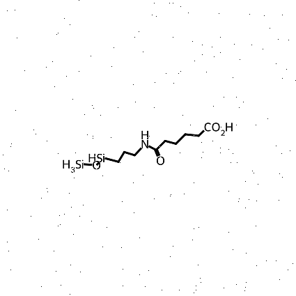 O=C(O)CCCCC(=O)NCCC[SiH]O[SiH3]